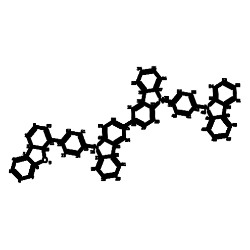 C1=CC2c3ccccc3OC2C(c2ccc(-n3c4ccccc4c4cc(-c5ccc6c(c5)c5ccccc5n6-c5ccc(-n6c7ccccc7c7ccccc76)cc5)ccc43)cc2)=C1